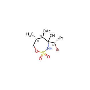 CC(=O)O[C@@H]1[C@@H](C)COS(=O)(=O)NC1(C#N)[C@@H](Br)C(C)C